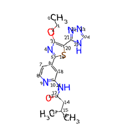 CCOc1nc(-c2ccnc(NC(=O)CC(C)C)c2)sc1-c1nnc[nH]1